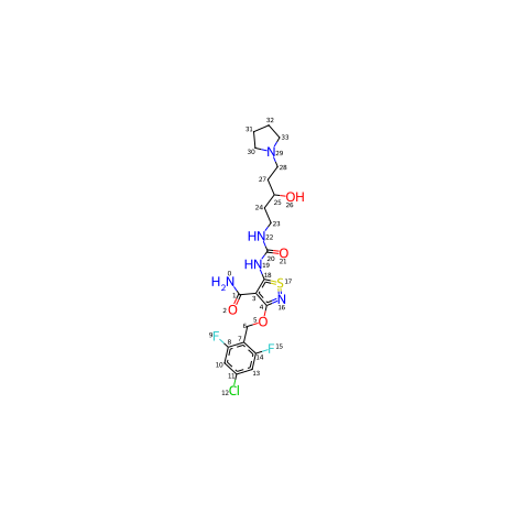 NC(=O)c1c(OCc2c(F)cc(Cl)cc2F)nsc1NC(=O)NCCC(O)CCN1CCCC1